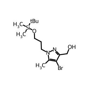 Cc1c(Br)c(CO)nn1CCCO[Si](C)(C)C(C)(C)C